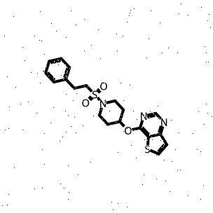 O=S(=O)(CCc1ccccc1)N1CCC(Oc2ncnc3ccsc23)CC1